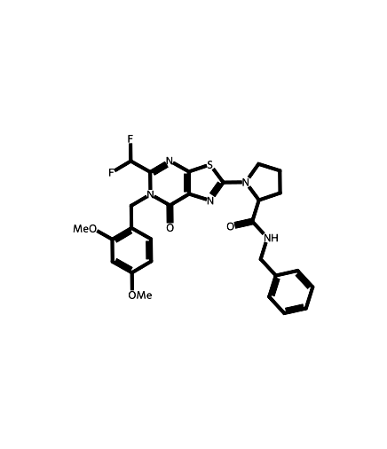 COc1ccc(Cn2c(C(F)F)nc3sc(N4CCCC4C(=O)NCc4ccccc4)nc3c2=O)c(OC)c1